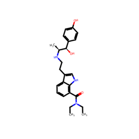 CCN(CC)C(=O)c1cccc2c(CCN[C@@H](C)[C@H](O)c3ccc(O)cc3)c[nH]c12